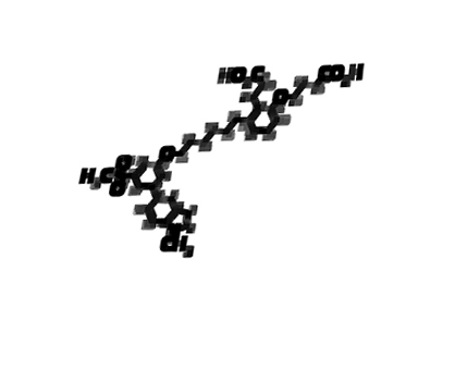 Cn1ccc2cc(-c3cc(OCCCCCCc4cccc(OCCCC(=O)O)c4CCC(=O)O)cc(S(C)(=O)=O)c3)ccc21